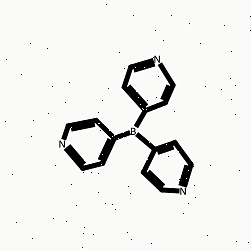 c1cc(B(c2ccncc2)c2ccncc2)ccn1